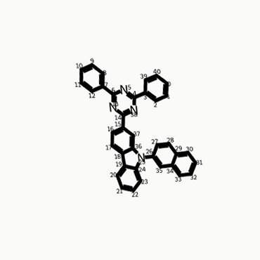 c1ccc(-c2nc(-c3ccccc3)nc(-c3ccc4c5ccccc5n(-c5ccc6ccccc6c5)c4c3)n2)cc1